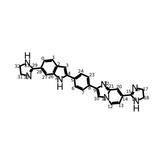 c1cc2cc(-c3ccc(-c4cn5ccc(C6=NCCN6)cc5n4)cc3)[nH]c2cc1C1=NCCN1